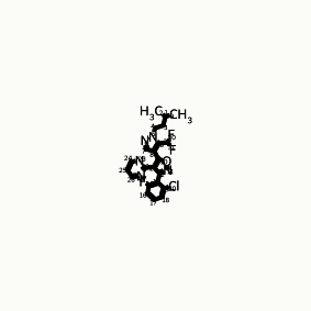 CC(C)CCn1ncc(-c2onc(-c3c(F)cccc3Cl)c2-c2ncccn2)c1C(F)F